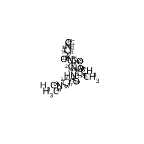 CCN(CC)c1ccc(C(=O)NC(CC(C)C)C(=O)N2CCC3C2C(=O)CN3C(=O)c2cc[n+]([O-])cc2)cc1